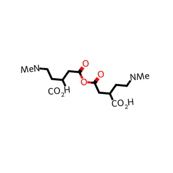 CNCCC(CC(=O)OC(=O)CC(CCNC)C(=O)O)C(=O)O